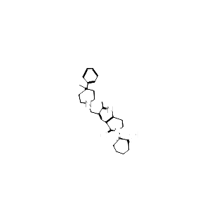 Cc1nc2c(cc1CN1CCC(C)(c3ccccc3)CC1)C(=O)N([C@H]1CCCC[C@@H]1O)CC2